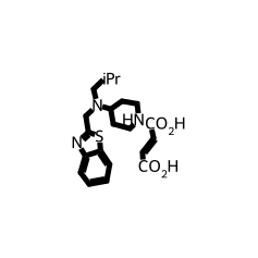 CC(C)CN(Cc1nc2ccccc2s1)C1CCNCC1.O=C(O)C=CC(=O)O